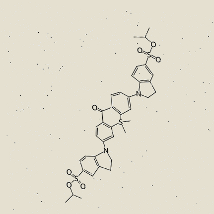 CC(C)OS(=O)(=O)c1ccc2c(c1)CCN2c1ccc2c(c1)S(C)(C)c1cc(N3CCc4cc(S(=O)(=O)OC(C)C)ccc43)ccc1C2=O